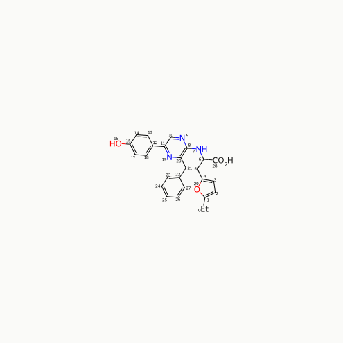 CCc1ccc(CC(Nc2ncc(-c3ccc(O)cc3)nc2Cc2ccccc2)C(=O)O)o1